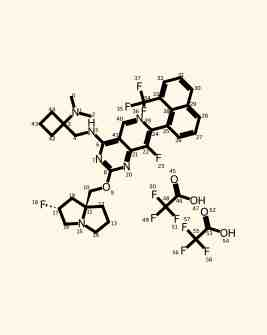 CN(C)C1(CNc2nc(OC[C@@]34CCCN3C[C@H](F)C4)nc3c(F)c(-c4cccc5cccc(C(F)(F)F)c45)ncc23)CCC1.O=C(O)C(F)(F)F.O=C(O)C(F)(F)F